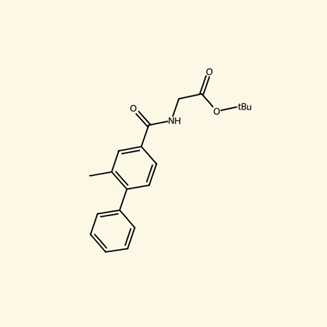 Cc1cc(C(=O)NCC(=O)OC(C)(C)C)ccc1-c1ccccc1